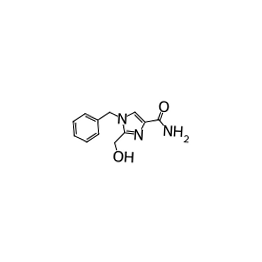 NC(=O)c1cn(Cc2ccccc2)c(CO)n1